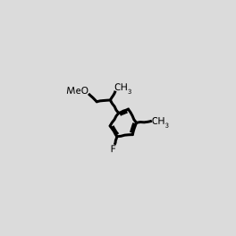 COC[C](C)c1cc(C)cc(F)c1